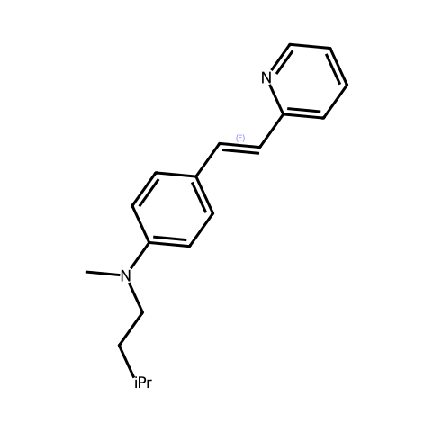 CC(C)CCN(C)c1ccc(/C=C/c2ccccn2)cc1